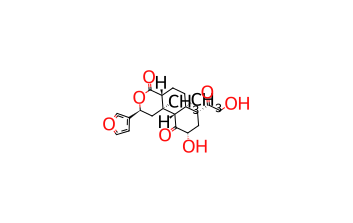 C[C@@]12CC[C@H]3C(=O)O[C@H](c4ccoc4)C[C@]3(C)[C@H]1C(=O)[C@@H](O)C[C@H]2C(=O)CO